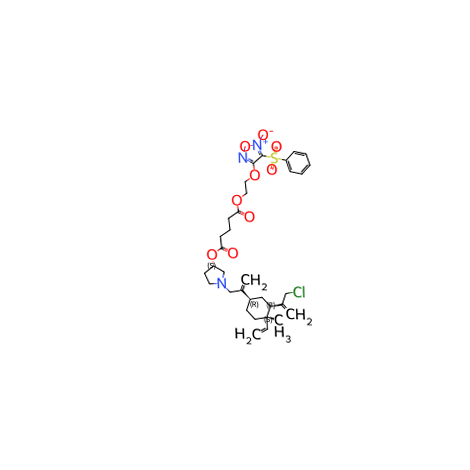 C=C[C@]1(C)CC[C@@H](C(=C)CN2CC[C@H](OC(=O)CCCC(=O)OCCOc3no[n+]([O-])c3S(=O)(=O)c3ccccc3)C2)C[C@H]1C(=C)CCl